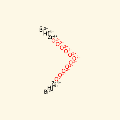 [Bi+3].[Bi+3].[Hf+4].[Hf+4].[O-2].[O-2].[O-2].[O-2].[O-2].[O-2].[O-2].[O-2].[O-2].[O-2].[O-2].[Zr+4].[Zr+4]